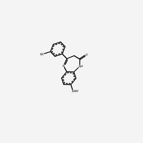 CNc1ccc2c(c1)NC(=O)CC(c1cccc(C#N)c1)=N2